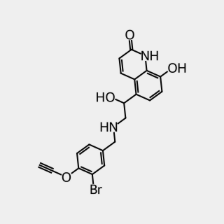 C#COc1ccc(CNCC(O)c2ccc(O)c3[nH]c(=O)ccc23)cc1Br